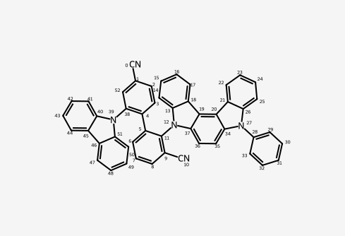 N#Cc1ccc(-c2cccc(C#N)c2-n2c3ccccc3c3c4c5ccccc5n(-c5ccccc5)c4ccc32)c(-n2c3ccccc3c3ccccc32)c1